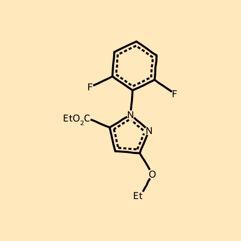 CCOC(=O)c1cc(OCC)nn1-c1c(F)cccc1F